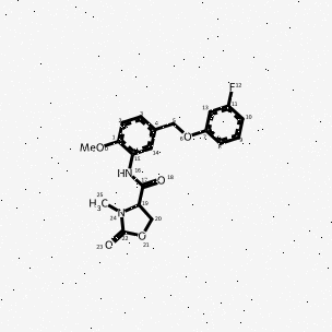 COc1ccc(COc2cccc(F)c2)cc1NC(=O)C1COC(=O)N1C